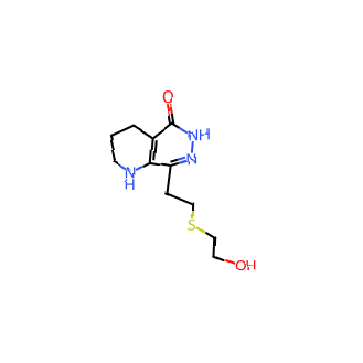 O=c1[nH]nc(CCSCCO)c2c1CCCN2